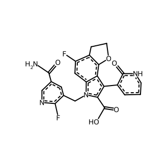 NC(=O)c1cnc(F)c(Cn2c(C(=O)O)c(-c3ccc[nH]c3=O)c3c4c(c(F)cc32)CCO4)c1